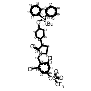 CC(C)(C)[Si](OC1CCC(C2CCN(Cc3c(Cl)cc(OS(=O)(=O)C(F)(F)F)cc3Cl)C2=O)CC1)(c1ccccc1)c1ccccc1